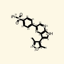 Cc1noc(C)c1-c1c[nH]c2ncc(-c3ccc(S(=O)(=O)C(C)C)cc3)nc12